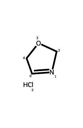 C1=NCOC1.Cl